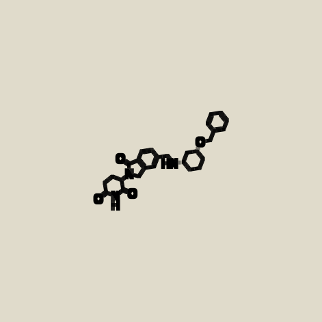 O=C1CCC(N2Cc3cc(CN[C@H]4CCC[C@@H](OCc5ccccc5)C4)ccc3C2=O)C(=O)N1